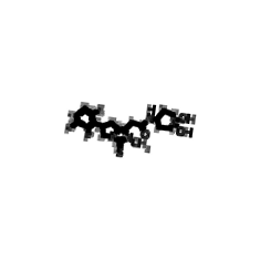 Cn1c(CC(=O)NC2CCS(O)(O)CC2)c2n(c1=S)CC(c1c(F)ccc(F)c1F)C2